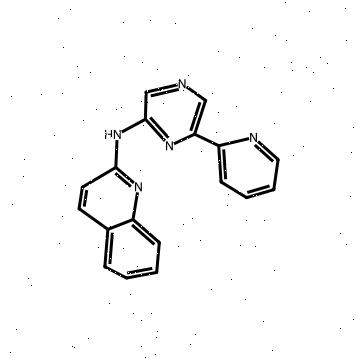 c1ccc(-c2cncc(Nc3ccc4ccccc4n3)n2)nc1